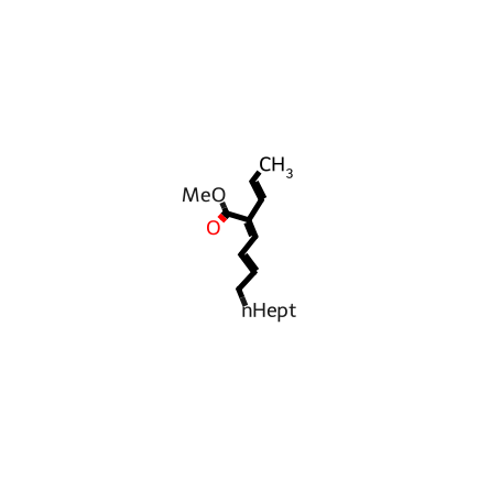 CC=CC(=CC=CCCCCCCCC)C(=O)OC